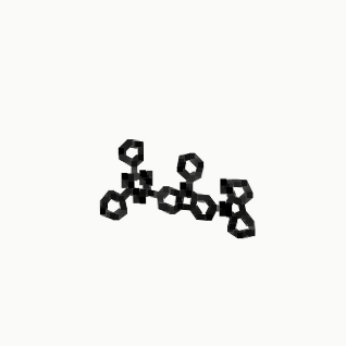 c1ccc(-c2nc(-c3ccccc3)nc(-c3ccc4c5ccc(-n6c7ccccc7c7cccnc76)cc5n(-c5ccccc5)c4c3)n2)cc1